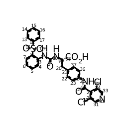 O=C(Nc1ccccc1S(=O)(=O)c1ccccc1)N[C@@H](Cc1ccc(NC(=O)c2c(Cl)cncc2Cl)cc1)C(=O)O